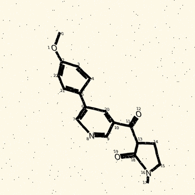 COc1ccc(-c2cncc(C(=O)C3CCN(C)C3=O)c2)cc1